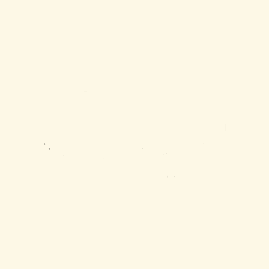 CCOC(=O)C(C)(C)c1ccc(C2(N)COC2)c(F)c1